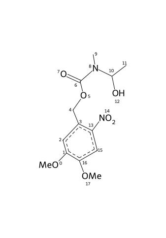 COc1cc(COC(=O)N(C)C(C)O)c([N+](=O)[O-])cc1OC